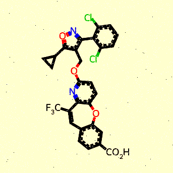 O=C(O)c1ccc2c(c1)Oc1ccc(OCc3c(-c4c(Cl)cccc4Cl)noc3C3CC3)nc1C(C(F)(F)F)=C2